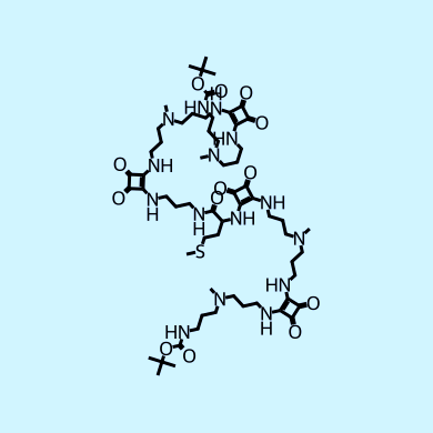 CSCCC(Nc1c(NCCCN(C)CCCNc2c(NCCCN(C)CCCNC(=O)OC(C)(C)C)c(=O)c2=O)c(=O)c1=O)C(=O)NCCCNc1c(NCCCN(C)CCCNc2c(NCCCN(C)CCCNC(=O)OC(C)(C)C)c(=O)c2=O)c(=O)c1=O